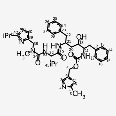 Cc1ncc(COC(=O)NC(Cc2ccccc2)C(O)CC(Cc2ccccc2)NC(=O)[C@@H](NC(=O)N(C)Cc2csc(C(C)C)n2)C(C)C)s1